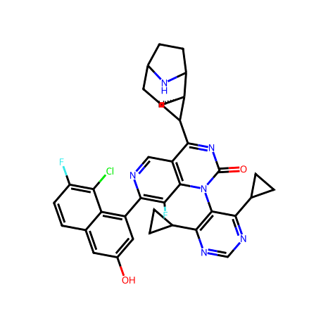 O=c1nc(C2C3CC4CCC(N4)[C@H]32)c2cnc(-c3cc(O)cc4ccc(F)c(Cl)c34)c(F)c2n1-c1c(C2CC2)ncnc1C1CC1